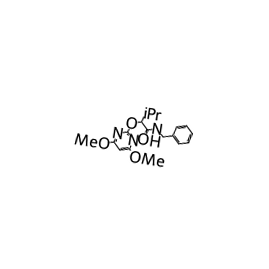 COc1cc(OC)nc(OC(C(=O)NCc2ccccc2)C(C)C)n1